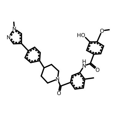 COc1ccc(C(=O)Nc2cc(C(=O)N3CCC(c4ccc(-c5cnn(C)c5)cc4)CC3)ccc2C)cc1O